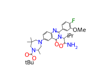 COc1cc(-c2nc3ccc(N4CC(C)N(C(=O)OC(C)(C)C)CC(C)(C)C4)cc3c(=O)n2C(C(N)=O)C(C)C)ccc1F